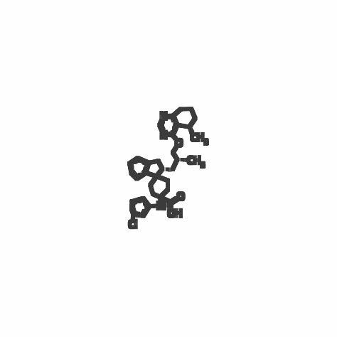 C[C@@H](COc1ncnc2c1[C@H](C)CCC2)C[C@H]1Cc2ccccc2C12CCC(Nc1cccc(Cl)c1)(C(=O)O)CC2